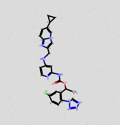 CC(OC(=O)Nc1cc(NCc2cn3cc(C4CC4)ccc3n2)ccn1)c1cc(Cl)ccc1-n1cnnn1